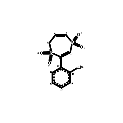 O=S1(=O)C=CCS(=O)(=O)C(c2ccccc2Cl)=C1